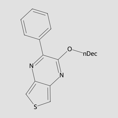 CCCCCCCCCCOc1nc2cscc2nc1-c1ccccc1